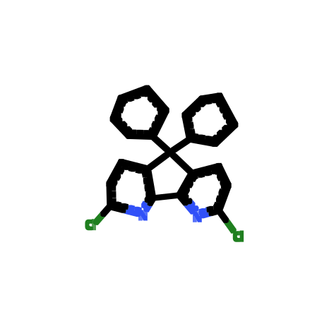 Clc1ccc2c(n1)-c1nc(Cl)ccc1C2(c1ccccc1)c1ccccc1